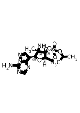 CC(C)OP1(=O)OC[C@H]2O[C@@H](c3cnn4c(N)ncnc34)[C@](C)(N)[C@@H]2O1